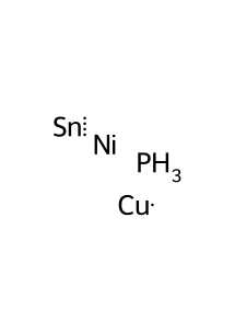 P.[Cu].[Ni].[Sn]